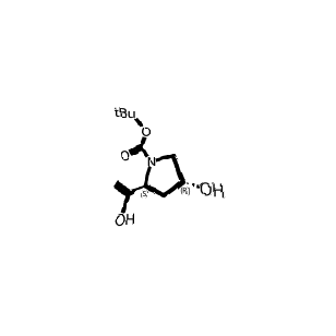 C=C(O)[C@@H]1C[C@@H](O)CN1C(=O)OC(C)(C)C